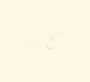 CC(C)(C)c1ccc2oc(-c3ccc4cc(OCCCCCC(C(=O)[O-])C(=O)[O-])ccc4c3)nc2c1.[Na+].[Na+]